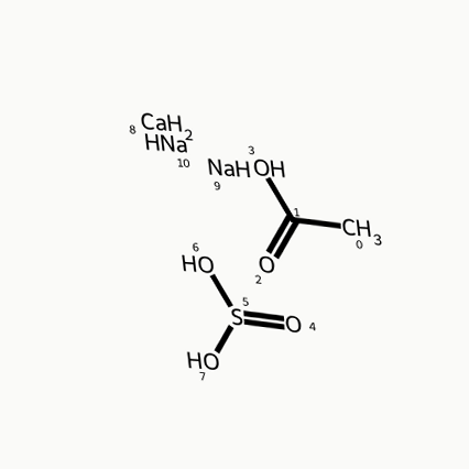 CC(=O)O.O=S(O)O.[CaH2].[NaH].[NaH]